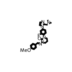 COc1ccc(/C=N/N2CCCN(c3ccc(-n4ccnc4CN(C)C)cc3F)C2=O)cc1